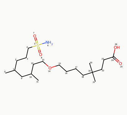 CC(CCCS(N)(=O)=O)CC(C)CCOCCCCC(C)(C)CCC(=O)O